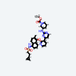 Cc1ccc2c(NS(=O)(=O)CCC3CC3)cccc2c1Oc1ncccc1-c1ccnc(N[C@H]2CCCN(C(=O)OC(C)(C)C)C2)n1